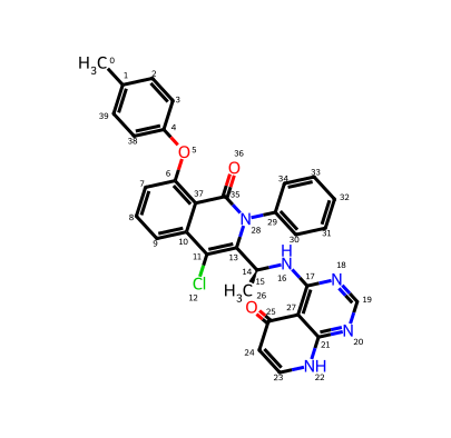 Cc1ccc(Oc2cccc3c(Cl)c([C@H](C)Nc4ncnc5[nH]ccc(=O)c45)n(-c4ccccc4)c(=O)c23)cc1